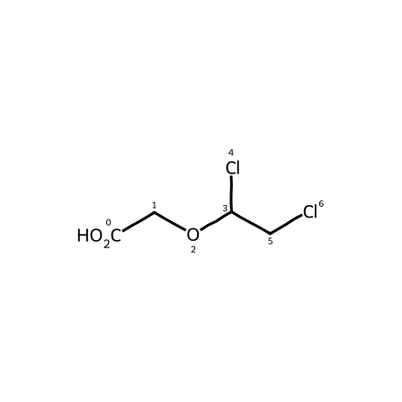 O=C(O)COC(Cl)CCl